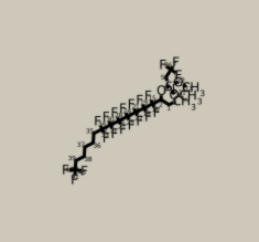 CCC(O[Si](CC(F)(F)F)(OC)OC)C(F)(F)C(F)(F)C(F)(F)C(F)(F)C(F)(F)C(F)(F)C(F)(F)CCCCCC(F)(F)F